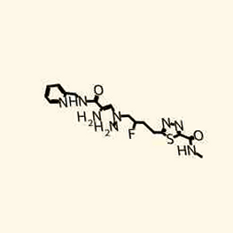 CNC(=O)c1nnc(CCC(F)CN(N)/C=C(\N)C(=O)NCc2ccccn2)s1